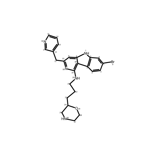 Brc1ccc2c(c1)[nH]c1cc(Cc3cccnc3)nc(NCCCC3CNCCO3)c12